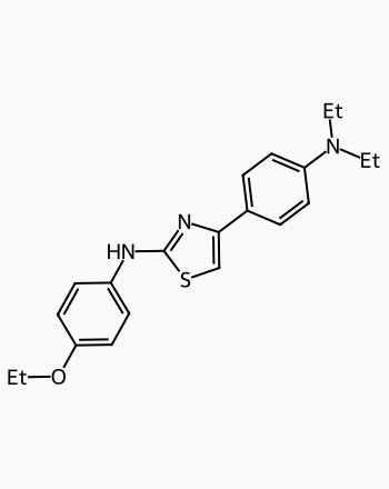 CCOc1ccc(Nc2nc(-c3ccc(N(CC)CC)cc3)cs2)cc1